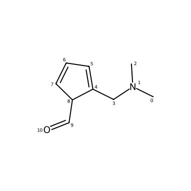 CN(C)CC1=CC=CC1C=O